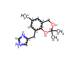 Cc1cc2c(c(Cc3c[nH]cn3)c1)OC(C)(C)OC2